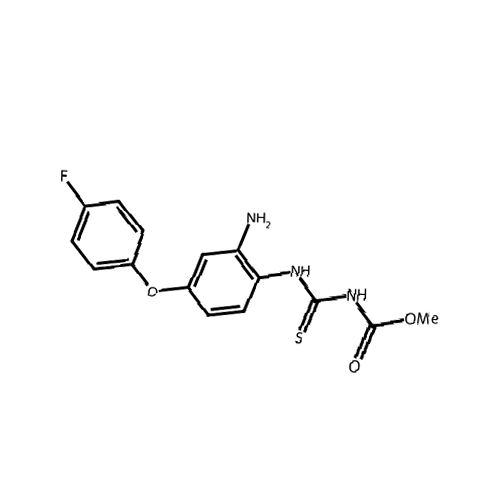 COC(=O)NC(=S)Nc1ccc(Oc2ccc(F)cc2)cc1N